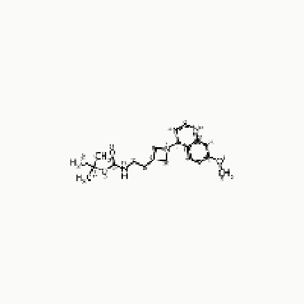 COc1ccc2c(N3CC(CCNC(=O)OC(C)(C)C)C3)ncnc2c1